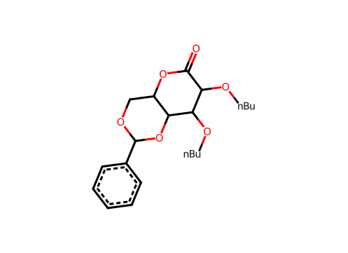 CCCCOC1C(=O)OC2COC(c3ccccc3)OC2C1OCCCC